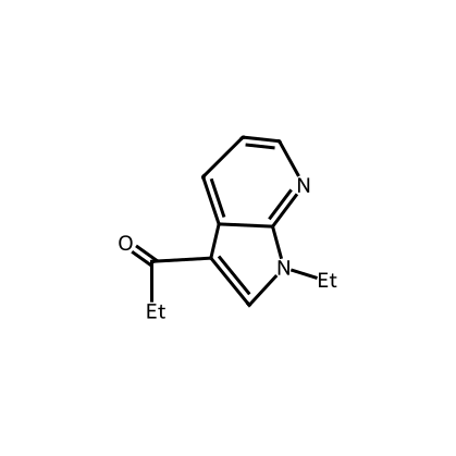 CCC(=O)c1cn(CC)c2ncccc12